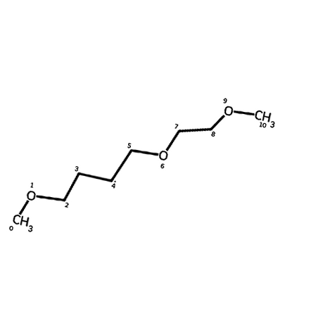 COCC[CH]COCCOC